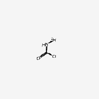 [2H]NC(=O)Cl